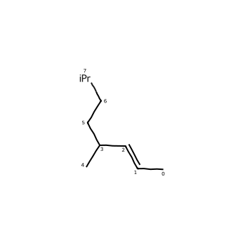 CC=CC(C)CCC(C)C